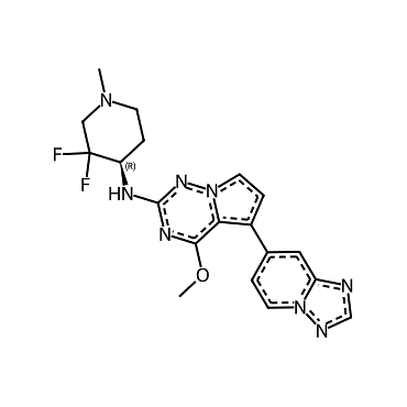 COc1nc(N[C@@H]2CCN(C)CC2(F)F)nn2ccc(-c3ccn4ncnc4c3)c12